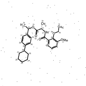 COc1ccnc(C(=O)N[C@@H](C)C(=O)OC(C)c2ccc(C3CCCCC3)cc2)c1OCOC(C)=O